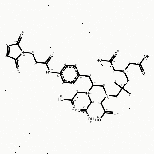 CC(C)(CN(CC(=O)O)CC(=O)O)CN(CC(=O)O)CC(Cc1ccc(NC(=O)CCN2C(=O)C=CC2=O)cc1)N(CC(=O)O)CC(=O)O